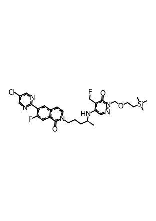 C[C@@H](CCCn1ccc2cc(-c3ncc(Cl)cn3)c(F)cc2c1=O)Nc1cnn(COCC[Si](C)(C)C)c(=O)c1CF